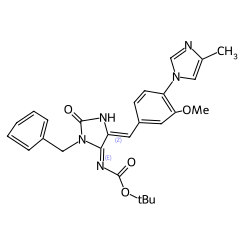 COc1cc(/C=C2\NC(=O)N(Cc3ccccc3)\C2=N\C(=O)OC(C)(C)C)ccc1-n1cnc(C)c1